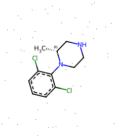 C[C@@H]1CNCCN1c1c(Cl)cccc1Cl